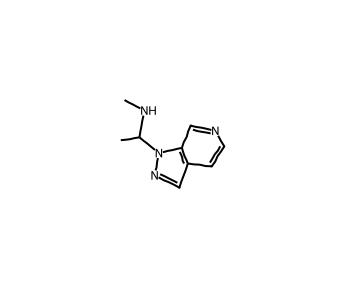 CNC(C)n1ncc2ccncc21